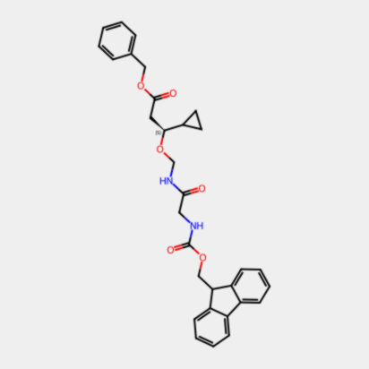 O=C(CNC(=O)OCC1c2ccccc2-c2ccccc21)NCO[C@@H](CC(=O)OCc1ccccc1)C1CC1